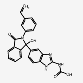 C=Cc1cccc(N2C(=O)c3ccccc3C2(O)c2ccc3[nH]c(NC(=O)O)nc3c2)c1